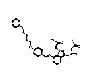 CC(CC(=O)O)Sc1cn(CC(=O)O)c2c(C=Cc3ccc(OCCCCOc4ccccc4)cc3)cccc12